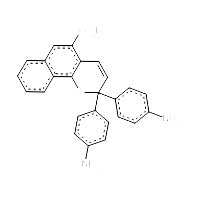 Nc1ccc(C2(c3ccc(N)cc3)C=Cc3c(C(=O)O)cc4ccccc4c3O2)cc1